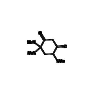 CNC1CC(NC)(NC)C(=O)CC1=O